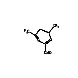 CC1C=C(C=O)N=C(C(F)(F)F)C1